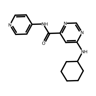 O=C(Nc1ccncc1)c1cc(NC2CCCCC2)ncn1